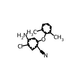 Cc1cccc(C)c1Oc1cc(N)c(Cl)cc1C#N